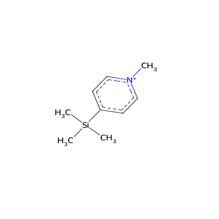 C[n+]1ccc([Si](C)(C)C)cc1